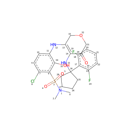 CN(C)S(=O)(=O)c1c(Cl)ccc(NC2=C(NC3(c4c(F)cccc4F)CCCC3)C(=O)COC2)c1O